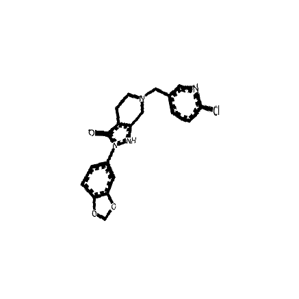 O=c1c2c([nH]n1-c1ccc3c(c1)OCO3)CN(Cc1ccc(Cl)nc1)CC2